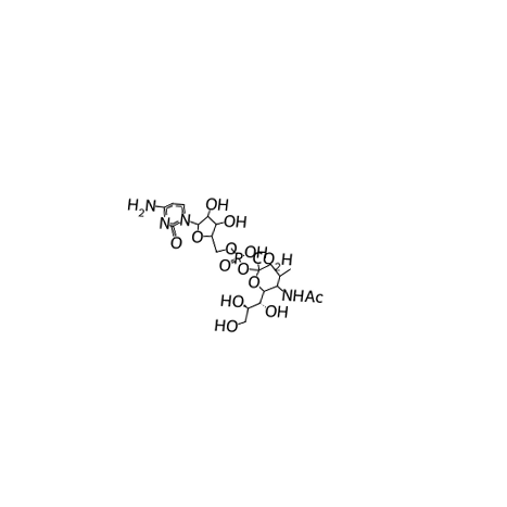 CC(=O)NC1C(C)CC(OP(=O)(O)OCC2OC(n3ccc(N)nc3=O)C(O)C2O)(C(=O)O)OC1[C@H](O)[C@H](O)CO